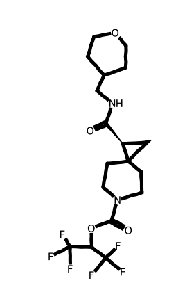 O=C(NCC1CCOCC1)[C@H]1CC12CCN(C(=O)OC(C(F)(F)F)C(F)(F)F)CC2